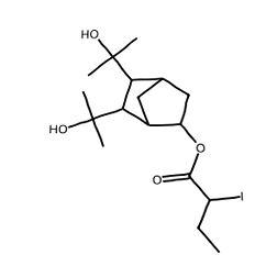 CCC(I)C(=O)OC1CC2CC1C(C(C)(C)O)C2C(C)(C)O